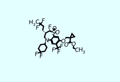 CCOC(=O)C1(COc2cc3c(cc2C(F)(F)F)N(C2CCC(F)(F)CC2)C[C@H](CCC(C)(F)F)[C@H](F)S3(=O)=O)CC1